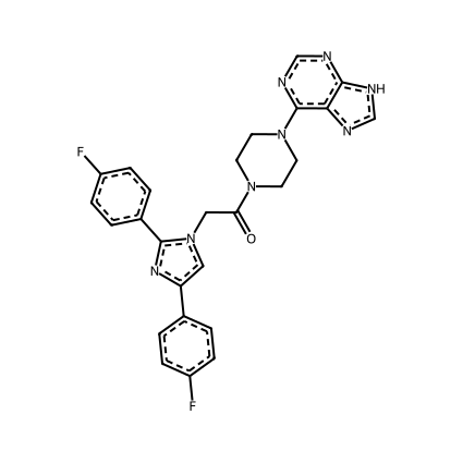 O=C(Cn1cc(-c2ccc(F)cc2)nc1-c1ccc(F)cc1)N1CCN(c2ncnc3[nH]cnc23)CC1